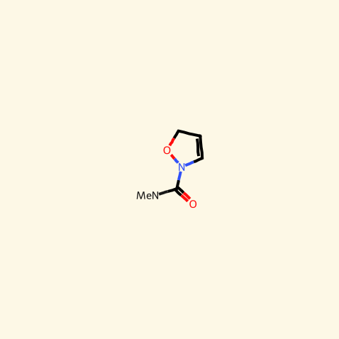 [CH2]NC(=O)N1C=CCO1